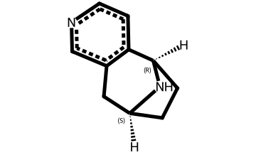 c1cc2c(cn1)C[C@@H]1CC[C@H]2N1